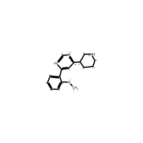 COc1ccccc1-c1cc(C2CCCNC2)ncn1